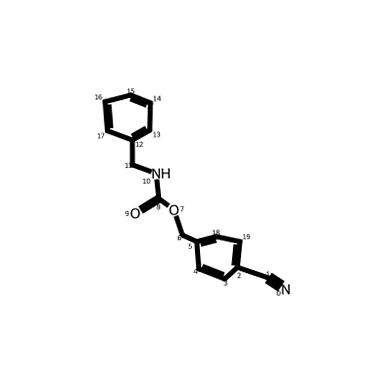 N#Cc1ccc(COC(=O)NCc2ccccc2)cc1